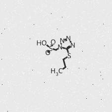 CCCSc1nnnn1CS(=O)(=O)O